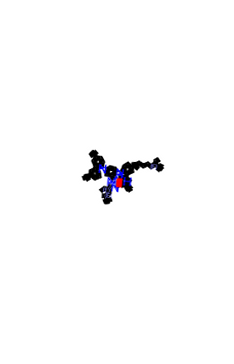 C=C/C(=C\CCCC(C)(C)c1ccc2c(c1)c1cc(C(C)(C)C)ccc1n2-c1ccc(-n2c3ccc(C(C)(C)C)cc3c3cc(C(C)(C)C)ccc32)cc1/C(=N/C(=N\C)C(=C/C)/C=C(\C)C(C)(C)C)NC)C(C)(C)C